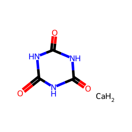 O=c1[nH]c(=O)[nH]c(=O)[nH]1.[CaH2]